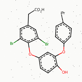 CC(C)c1ccc(Oc2cc(Oc3c(Br)cc(CC(=O)O)cc3Br)ccc2O)cc1